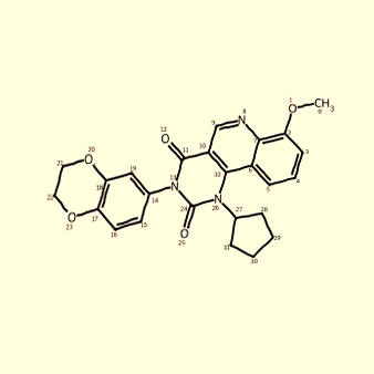 COc1cccc2c1ncc1c(=O)n(-c3ccc4c(c3)OCCO4)c(=O)n(C3CCCC3)c12